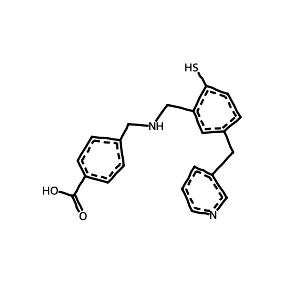 O=C(O)c1ccc(CNCc2cc(Cc3cccnc3)ccc2S)cc1